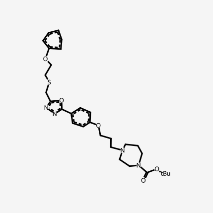 CC(C)(C)OC(=O)N1CCCN(CCCOc2ccc(-c3nnc(CSCCOc4ccccc4)o3)cc2)CC1